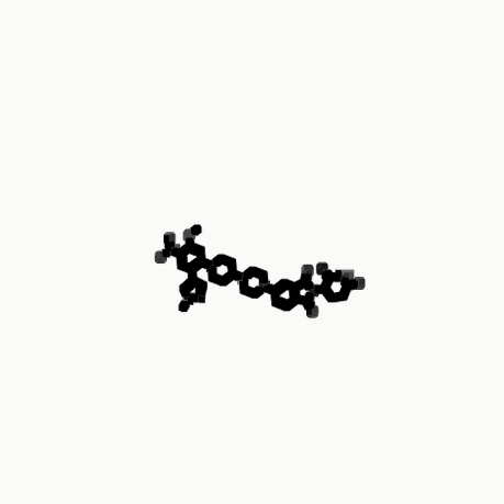 COc1cc(N2CCC(N3CCN(c4ccc5c(c4)C(=O)N(C4CCC(=O)NC4=O)C5=O)CC3)CC2)c(-c2cnn(C)c2)cc1[N+](=O)[O-]